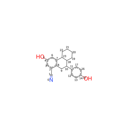 N#Cc1cc(O)cc2c1CC(c1ccc(O)cc1)C1CCCCC21